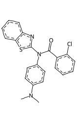 CN(C)c1ccc(N(C(=O)c2ccccc2Cl)c2nc3ccccc3s2)cc1